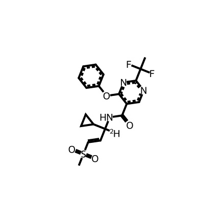 [2H]C(C=CS(C)(=O)=O)(NC(=O)c1cnc(C(C)(F)F)nc1Oc1ccccc1)C1CC1